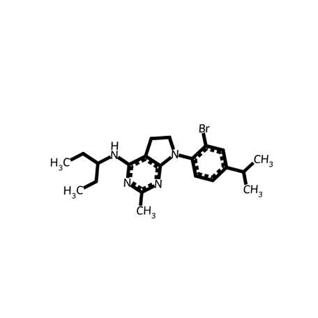 CCC(CC)Nc1nc(C)nc2c1CCN2c1ccc(C(C)C)cc1Br